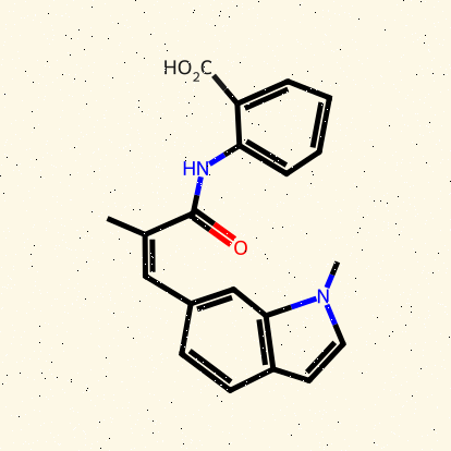 CC(=Cc1ccc2ccn(C)c2c1)C(=O)Nc1ccccc1C(=O)O